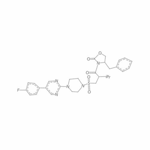 CC(C)C(CS(=O)(=O)N1CCN(c2ncc(-c3ccc(F)cc3)cn2)CC1)C(=O)N1C(=O)OCC1Cc1ccccc1